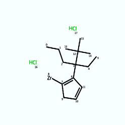 CCCC(CC)(C1=[C]([Zr])CC=C1)C(C)(C)C.Cl.Cl